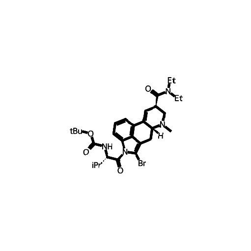 CCN(CC)C(=O)[C@@H]1C=C2c3cccc4c3c(c(Br)n4C(=O)[C@@H](NC(=O)OC(C)(C)C)C(C)C)C[C@H]2N(C)C1